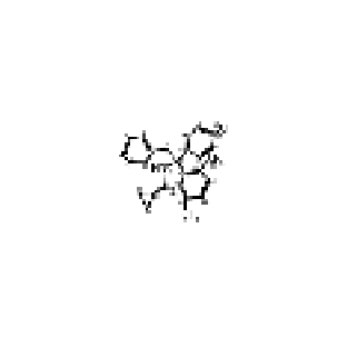 O=C(N[C@](Cc1ccccc1)(c1ccc(Cl)cn1)c1cc(C(F)(F)F)ccc1C(F)(F)F)C1CC1